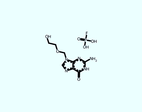 Nc1nc2c(ncn2COCCO)c(=O)[nH]1.O=P(O)(O)F